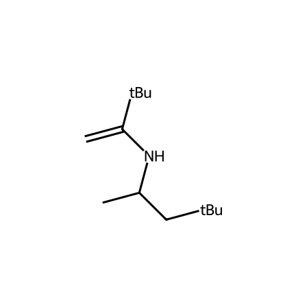 C=C(NC(C)CC(C)(C)C)C(C)(C)C